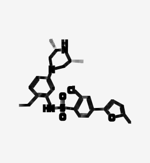 CCc1ccc(N2C[C@@H](C)N[C@@H](C)C2)cc1NS(=O)(=O)c1ccc(-c2ccc(C)o2)cc1Cl